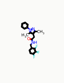 Cc1nn(-c2ccccc2)c(C)c1CC(=O)NCc1ccc(F)c(F)c1F